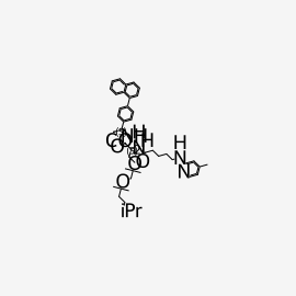 Cc1ccnc(NCCCCC(=O)N[C@@H](COC(C)(C)COC(C)(C)CCC(C)C)C(=O)N[C@@H](CC(=O)O)c2ccc(-c3cccc4ccccc34)cc2)c1